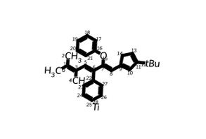 CC(C)=C(C)C=C(C(=CC1=CC(C(C)(C)C)=CC1)Oc1ccccc1)c1ccccc1.[Ti]